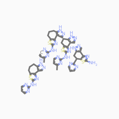 Cc1ccnc(Nc2nc3c(s2)CCCc2[nH]ncc2-3)n1.Cc1ccnc(Nc2nc3c(s2)CCc2[nH]ncc2-3)n1.Nc1nc2c(s1)C(c1ncccn1)Cc1[nH]ncc1-2.c1cnc(Nc2nc3c(s2)CCCc2[nH]ncc2-3)nc1